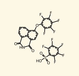 O=C1NC(=O)c2ccc(Oc3c(F)c(F)c(F)c(F)c3F)c3cccc1c23.O=S(=O)(O)c1c(F)c(F)c(F)c(F)c1F